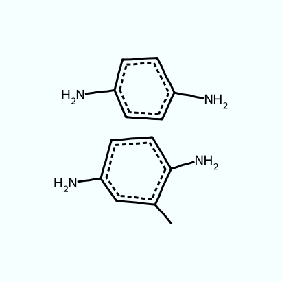 Cc1cc(N)ccc1N.Nc1ccc(N)cc1